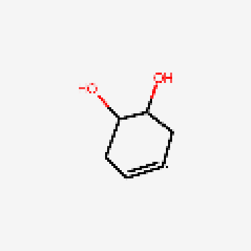 OC1C[C]=CCC1O